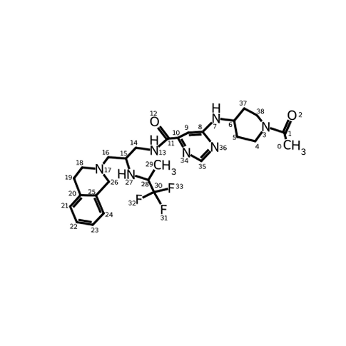 CC(=O)N1CCC(Nc2cc(C(=O)NCC(CN3CCc4ccccc4C3)NC(C)C(F)(F)F)ncn2)CC1